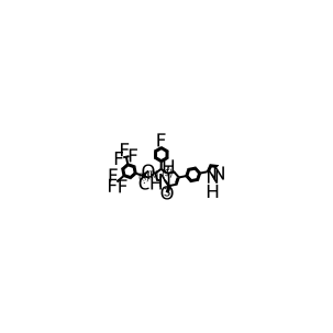 C[C@@H](O[C@H]1CN2C(=O)C=C(c3ccc(-c4ccn[nH]4)cc3)C[C@H]2C1c1ccc(F)cc1)c1cc(C(F)(F)F)cc(C(F)(F)F)c1